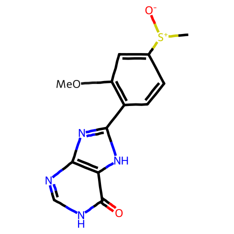 COc1cc([S+](C)[O-])ccc1-c1nc2nc[nH]c(=O)c2[nH]1